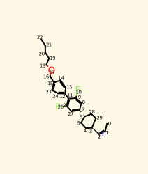 C/C=C\[C@H]1CC[C@H](c2cc(F)c(-c3ccc(COCCCCC)cc3)c(F)c2)CC1